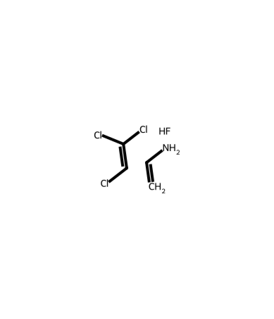 C=CN.ClC=C(Cl)Cl.F